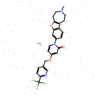 CN1CCc2oc3cc(-n4ccc(OCc5ccc(C(F)(F)F)nc5)cc4=O)ccc3c2CC1.Cl